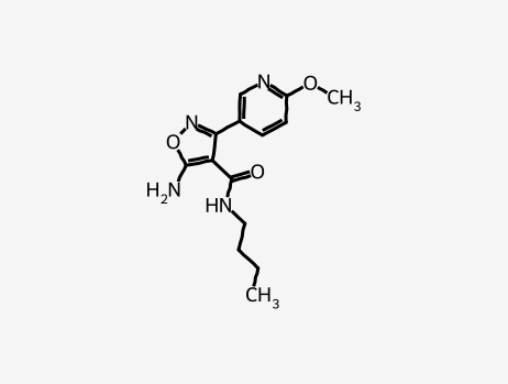 CCCCNC(=O)c1c(-c2ccc(OC)nc2)noc1N